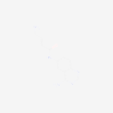 NCC=CC(=O)Nc1ccc2ncnc(N)c2c1